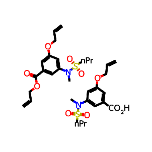 C=CCOC(=O)c1cc(OCC=C)cc(N(C)S(=O)(=O)CCC)c1.C=CCOc1cc(C(=O)O)cc(N(C)S(=O)(=O)CCC)c1